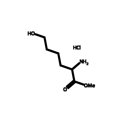 COC(=O)C(N)CCCCO.Cl